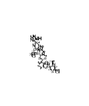 Cc1cccc(C2CCN(Cc3nc4cc(-c5nnn[nH]5)ncc4n3C[C@@H]3CCO3)CC2)c1OC(C)(C)c1ccc(Cl)cc1F